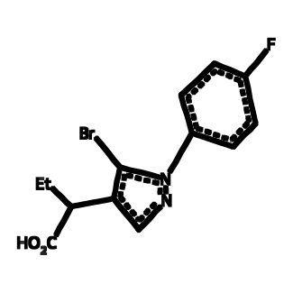 CCC(C(=O)O)c1cnn(-c2ccc(F)cc2)c1Br